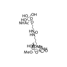 COC[C@H]1O[C@@H](n2ccc(=O)[nH]c2=O)[C@@H](CCCCCCCNC(=O)NCCCCO[C@@H]2O[C@H](CO)[C@H](O)[C@H](O)[C@H]2NC(C)=O)C1OP(O)(=S)OC